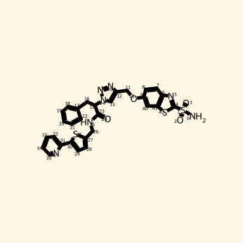 NS(=O)(=O)c1nc2ccc(OCc3cn(C(Cc4ccccc4)C(=O)NCc4ccc(-c5ccccn5)s4)nn3)cc2s1